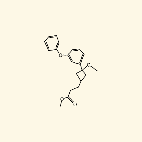 COC(=O)CCC1CC(OC)(c2cccc(Oc3ccccc3)c2)C1